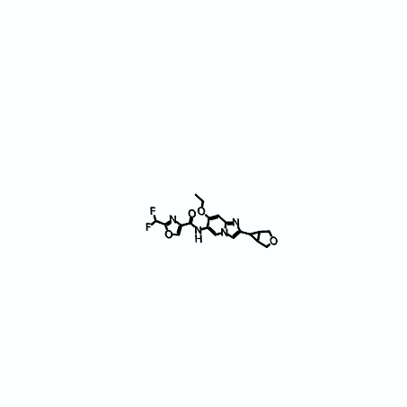 CCOc1cc2nc(C3C4COCC43)cn2cc1NC(=O)c1coc(C(F)F)n1